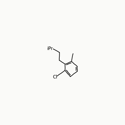 Cc1cccc(Cl)c1CCC(C)C